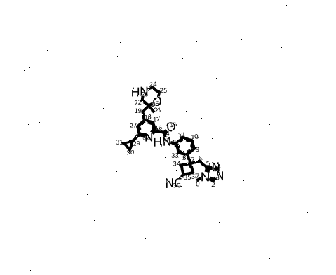 Cn1cnnc1CC1(c2cccc(NC(=O)c3cc(CC4(C)CNCCO4)cc(C4CC4)n3)c2)CC(C#N)C1